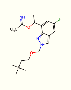 CC(OC(=N)C(Cl)(Cl)Cl)c1cc(F)cc2cn(COCC[Si](C)(C)C)nc12